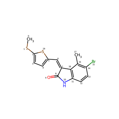 CSc1ccc(C=C2C(=O)Nc3ccc(Br)c(C)c32)s1